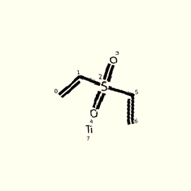 C=CS(=O)(=O)C=C.[Ti]